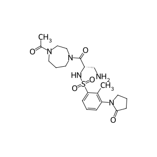 CC(=O)N1CCCN(C(=O)[C@H](CN)NS(=O)(=O)c2cccc(N3CCCC3=O)c2C)CC1